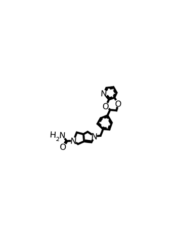 NC(=O)N1CC2=CN(Cc3ccc(C4COc5cccnc5O4)cc3)CC2C1